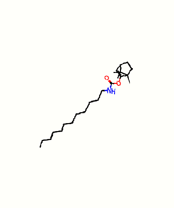 CCCCCCCCCCCCNC(=O)OC1=CC2CCC1(C)C2(C)C